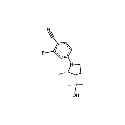 C[C@H]1[C@@H](C(C)(C)O)CCN1c1ccc(C#N)c(Br)c1